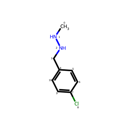 CNNCc1ccc(Cl)cc1